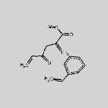 C=CC(=O)CC(=C)C(=O)OC.C=Cc1ccccc1